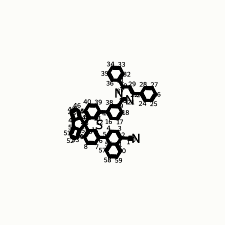 N#Cc1ccc(-c2cccc3c2Sc2c(-c4cccc(-c5nc(-c6ccccc6)cc(-c6ccccc6)n5)c4)cccc2C32c3ccccc3-c3ccccc32)c2ccccc12